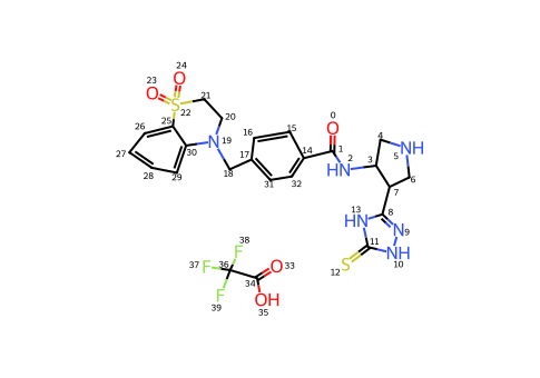 O=C(NC1CNCC1c1n[nH]c(=S)[nH]1)c1ccc(CN2CCS(=O)(=O)c3ccccc32)cc1.O=C(O)C(F)(F)F